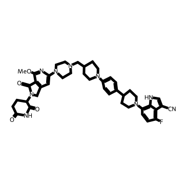 COc1nc(N2CCN(CC3CCN(c4ccc(C5CCN(c6ccc(F)c7c(C#N)c[nH]c67)CC5)cc4)CC3)CC2)cc2c1C(=O)N(C1CCC(=O)NC1=O)C2